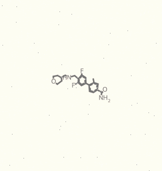 Cc1cc(C(N)=O)ccc1-c1cc(F)c(CNCC2CCOCC2)c(F)c1